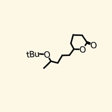 CC(CCCC1CCCC(=O)O1)OC(C)(C)C